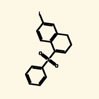 O=S(=O)(C1=CCCc2cc(I)ccc21)c1ccccc1